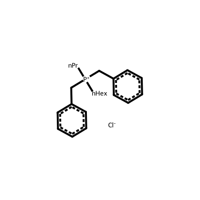 CCCCCC[P+](CCC)(Cc1ccccc1)Cc1ccccc1.[Cl-]